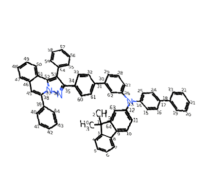 CC1(C)c2ccccc2-c2ccc(N(c3ccc(-c4ccccc4)cc3)c3cccc(-c4ccc(-c5nn6c(-c7ccccc7)cc7ccccc7c6c5-c5ccccc5)cc4)c3)cc21